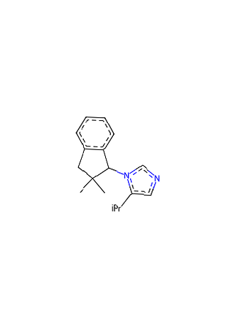 CC(C)c1cncn1C1c2ccccc2CC1(C)C